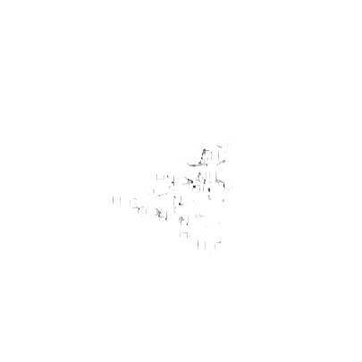 CCC1CCC(NC(=O)c2ccccn2)CC(Nc2nc(Nc3cc(C)[nH]n3)cc(OC)n2)C1